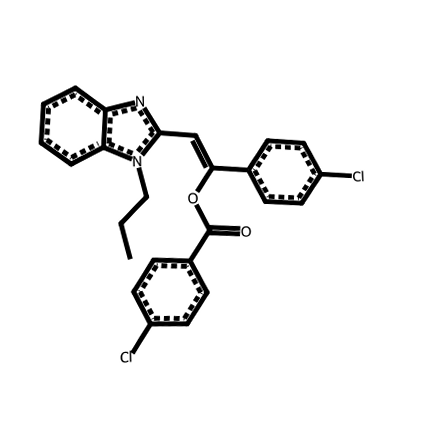 CCCn1c(/C=C(\OC(=O)c2ccc(Cl)cc2)c2ccc(Cl)cc2)nc2ccccc21